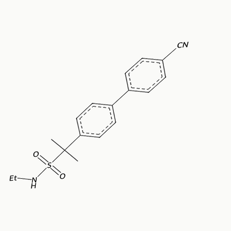 CCNS(=O)(=O)C(C)(C)c1ccc(-c2ccc(C#N)cc2)cc1